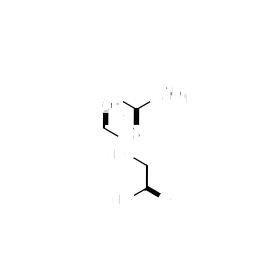 C=CCCCC.CC(=N)C(=O)O.CCC(=O)O.[NaH]